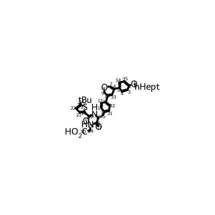 CCCCCCCOc1ccc(C2=COCC(c3ccc(C[C@H](NC(=O)c4ccc(C(C)(C)C)s4)C(=O)NCC(=O)O)cc3)=C2)cc1